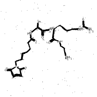 BCCNC(=O)[C@H](CCCNC(N)=O)NC(=O)C(NC(=O)CCCCCN1C(=O)C=CC1=O)C(C)C